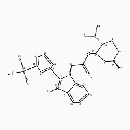 CC(C)[C@@H]1CC[C@@H](C)C[C@H]1OC(=O)Cn1c(-c2cccc(C(F)(F)F)c2)[n+](C)c2ccccc21